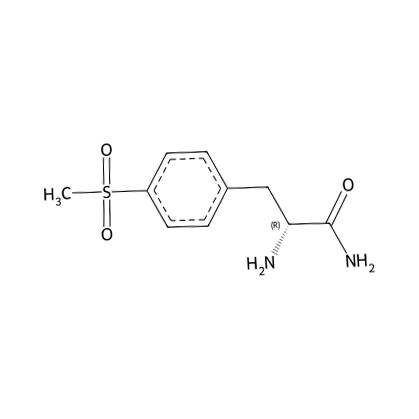 CS(=O)(=O)c1ccc(C[C@@H](N)C(N)=O)cc1